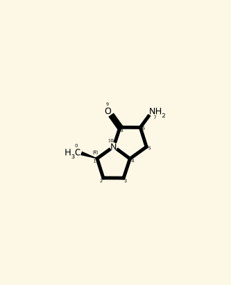 C[C@@H]1CCC2CC(N)C(=O)N21